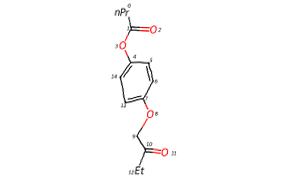 CCCC(=O)Oc1ccc(OCC(=O)CC)cc1